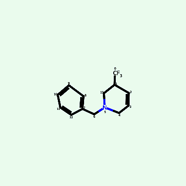 FC(F)(F)C1C=CCN(Cc2ccccc2)C1